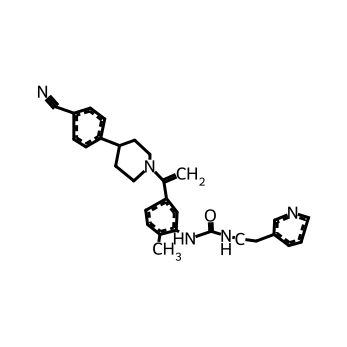 C=C(c1ccc(C)c(NC(=O)NCCc2cccnc2)c1)N1CCC(c2ccc(C#N)cc2)CC1